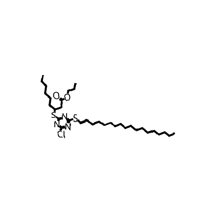 CCCCCCCCCCCCCCCCCCSc1nc(Cl)nc(SC(CCCCCC)CC(=O)OCCC)n1